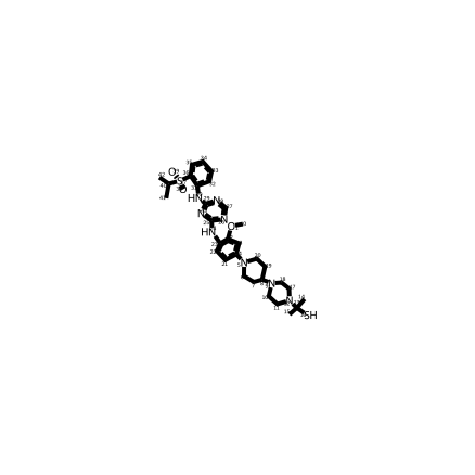 COc1cc(N2CCC(N3CCN(C(C)(C)S)CC3)CC2)ccc1Nc1ncnc(Nc2ccccc2S(=O)(=O)C(C)C)n1